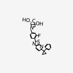 O=C(O)C1(O)CN(Cc2ccc(-c3nc4ccc(C5(c6ccccc6)CC5)nc4s3)c(F)c2)C1